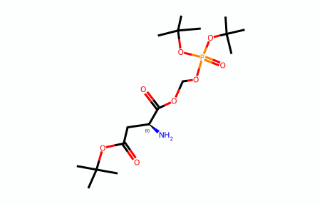 CC(C)(C)OC(=O)C[C@H](N)C(=O)OCOP(=O)(OC(C)(C)C)OC(C)(C)C